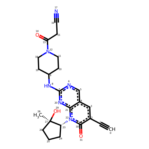 C#Cc1cc2cnc(NC3CCN(C(=O)CC#N)CC3)nc2n([C@@H]2CCC[C@@]2(C)O)c1=O